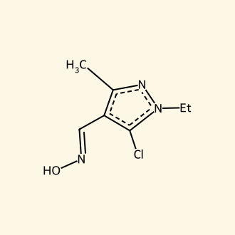 CCn1nc(C)c(C=NO)c1Cl